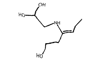 CC=C(CCO)NCC(O)O